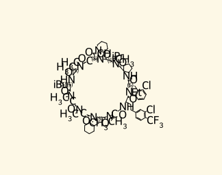 CC[C@H](C)[C@@H]1NC(=O)[C@H](C)N(C)C(=O)C[C@@H](C(=O)N2CCCCC2)N(C)C(=O)[C@H](C(C)C)N(C)C(=O)C2(CCCC2)NC(=O)[C@H](Cc2ccccc2Cl)N(CC)C(=O)C(CCc2ccc(C(F)(F)F)c(Cl)c2)NC(=O)CN(C)C(=O)[C@H](CC2CCCCC2)N(C)C(=O)CN(C)C(=O)CN(C)C1=O